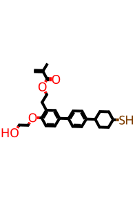 C=C(C)C(=O)OCCc1cc(-c2ccc(C3CCC(S)CC3)cc2)ccc1OCCO